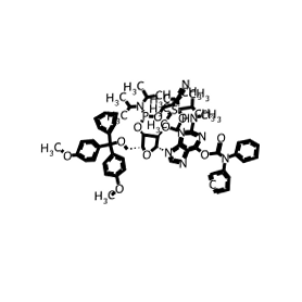 CNc1nc(OC(=O)N(c2ccccc2)c2ccccc2)c2ncn([C@@H]3O[C@H](COC(c4ccccc4)(c4ccc(OC)cc4)c4ccc(OC)cc4)[C@@H](OP(OCCC#N)N(C(C)C)C(C)C)[C@H]3OCO[Si](C(C)C)(C(C)C)C(C)C)c2n1